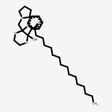 CCCCCCCCCCCCCCCC(=O)NC1(CN2CCCC2)OCCOC1(O)c1ccccc1